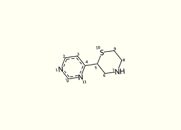 [c]1nccc(C2CNCCS2)n1